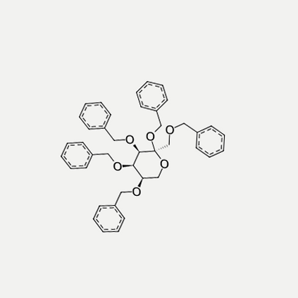 c1ccc(COC[C@]2(OCc3ccccc3)OC[C@@H](OCc3ccccc3)[C@@H](OCc3ccccc3)[C@H]2OCc2ccccc2)cc1